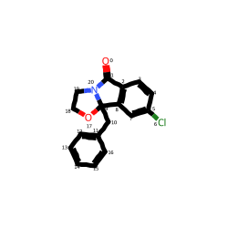 O=C1c2ccc(Cl)cc2C2(Cc3ccccc3)OCCN12